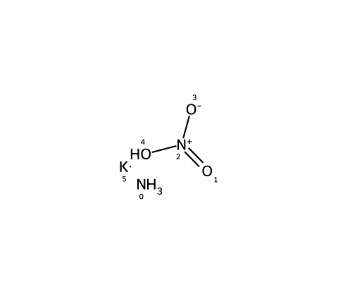 N.O=[N+]([O-])O.[K]